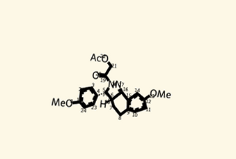 COc1ccc([C@H]2[C@H]3CCc4ccc(OC)cc4C3=NN2C(=O)COC(C)=O)cc1